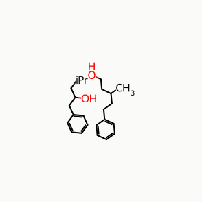 CC(C)CC(O)Cc1ccccc1.CC(CCO)CCc1ccccc1